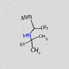 CCC(C)(C)NC(C)NC